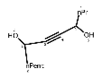 CCCCCC(O)C#CC(O)CCC